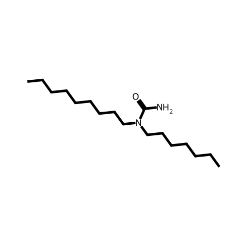 CCCCCCCCCN(CCCCCCC)C(N)=O